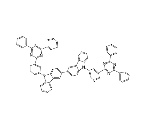 c1ccc(-c2nc(-c3ccccc3)nc(-c3cccc(-n4c5ccccc5c5cc(-c6ccc7c(c6)c6ccccc6n7-c6cncc(-c7nc(-c8ccccc8)nc(-c8ccccc8)n7)c6)ccc54)c3)n2)cc1